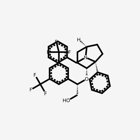 OC[C@@H](O[C@@H]1CC[C@H]2CC[C@]1(c1ccccc1)N2Cc1ccccc1)c1cc(C(F)(F)F)cc(C(F)(F)F)c1